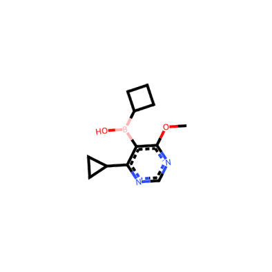 COc1ncnc(C2CC2)c1B(O)C1CCC1